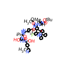 CO[C@@H](C)COc1nc(N2C[C@@H]3C[C@H]2CN3C(=O)OC(C)(C)C)c2cc(C3CC3)c(-c3c(C)c(F)cc4nn(C(c5ccccc5)(c5ccccc5)c5ccccc5)cc34)c(OCc3ccc(-c4cn([C@H](C(=O)N5C[C@H](O)C[C@H]5C(=O)N[C@@H](CO)c5ccc(-c6cccnc6C)cc5)C(C)C)nn4)cc3)c2n1